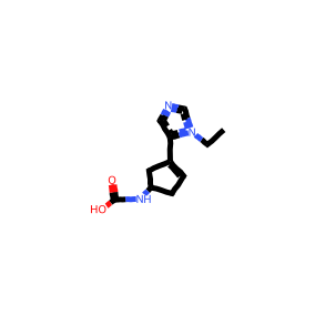 CCn1cncc1C1=CCC(NC(=O)O)C1